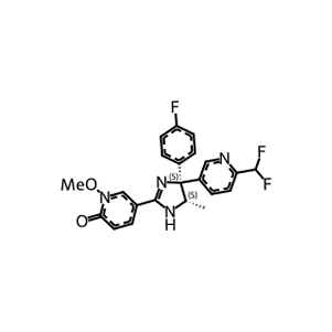 COn1cc(C2=N[C@@](c3ccc(F)cc3)(c3ccc(C(F)F)nc3)[C@H](C)N2)ccc1=O